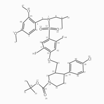 COc1ccc(CN(CC(C)C)S(=O)(=O)c2cc(F)c(OCC3CN(C(=O)OC(C)(C)C)CCC3c3ccc(Cl)cc3)cc2F)c(OC)c1